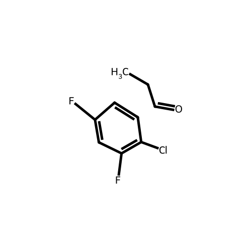 CCC=O.Fc1ccc(Cl)c(F)c1